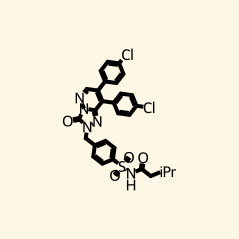 CC(C)CC(=O)NS(=O)(=O)c1ccc(Cn2nc3c(-c4ccc(Cl)cc4)c(-c4ccc(Cl)cc4)cnn3c2=O)cc1